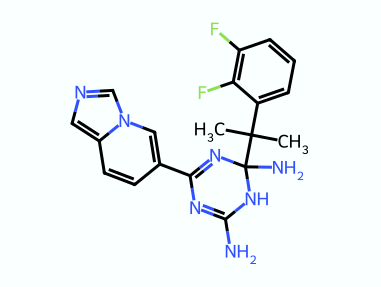 CC(C)(c1cccc(F)c1F)C1(N)N=C(c2ccc3cncn3c2)N=C(N)N1